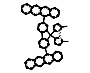 Cc1ccc(C2(c3ccc(C)s3)c3cc(-c4c5ccccc5cc5cc6ccccc6cc45)ccc3-c3ccc(-c4c5ccccc5cc5cc6ccccc6cc45)cc32)s1